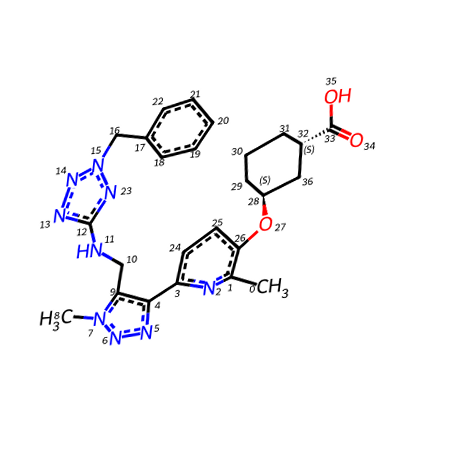 Cc1nc(-c2nnn(C)c2CNc2nnn(Cc3ccccc3)n2)ccc1O[C@H]1CCC[C@H](C(=O)O)C1